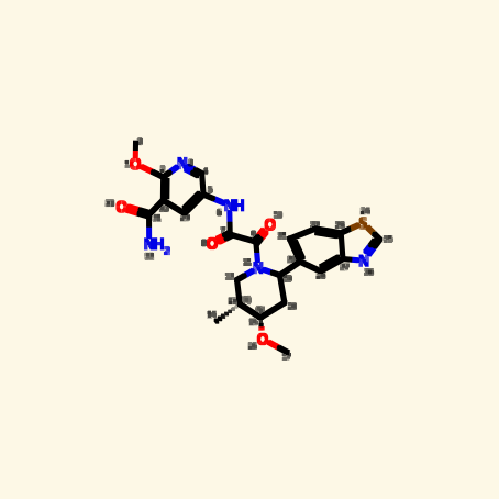 COc1ncc(NC(=O)C(=O)N2C[C@@H](C)[C@@H](OC)CC2c2ccc3scnc3c2)cc1C(N)=O